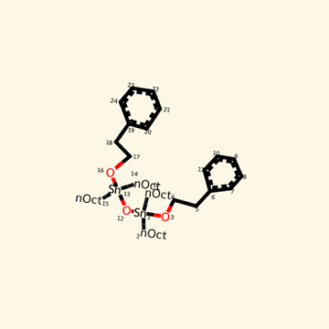 CCCCCCC[CH2][Sn]([CH2]CCCCCCC)([O]CCc1ccccc1)[O][Sn]([CH2]CCCCCCC)([CH2]CCCCCCC)[O]CCc1ccccc1